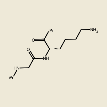 CC(C)NCC(=O)N[C@@H](CCCCN)C(=O)C(C)C